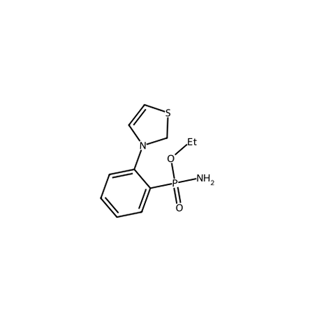 CCOP(N)(=O)c1ccccc1N1C=CSC1